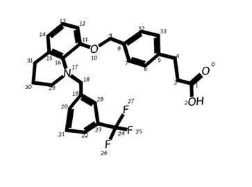 O=C(O)CCc1ccc(COc2cccc3c2N(Cc2cccc(C(F)(F)F)c2)CCC3)cc1